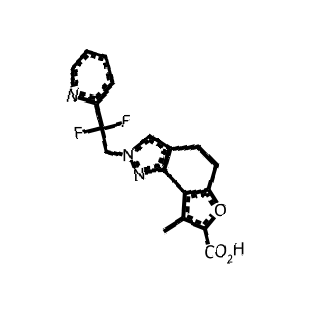 Cc1c(C(=O)O)oc2c1-c1nn(CC(F)(F)c3ccccn3)cc1CC2